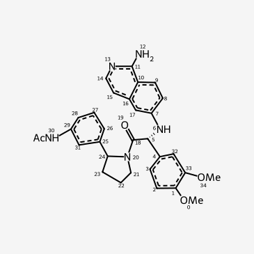 COc1ccc([C@@H](Nc2ccc3c(N)nccc3c2)C(=O)N2CCCC2c2cccc(NC(C)=O)c2)cc1OC